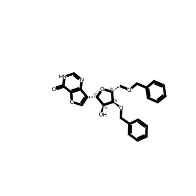 O=c1[nH]cnc2c([C@@H]3O[C@H](COCc4ccccc4)[C@@H](OCc4ccccc4)[C@H]3O)coc12